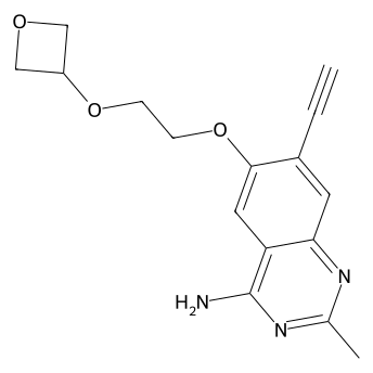 C#Cc1cc2nc(C)nc(N)c2cc1OCCOC1COC1